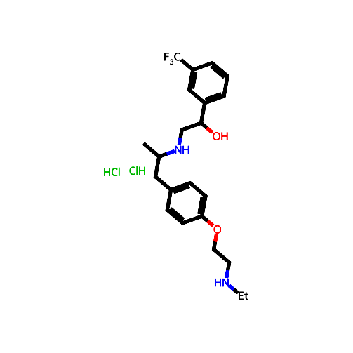 CCNCCOc1ccc(CC(C)NCC(O)c2cccc(C(F)(F)F)c2)cc1.Cl.Cl